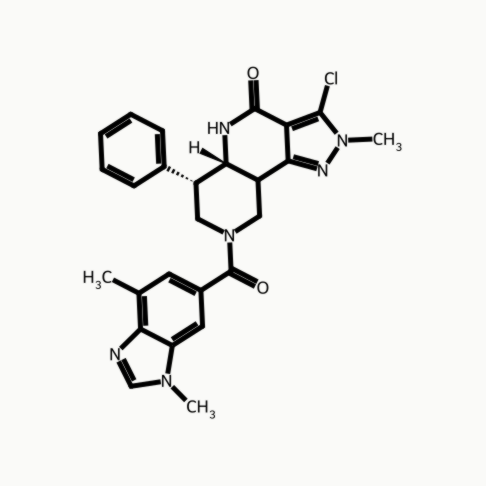 Cc1cc(C(=O)N2CC3c4nn(C)c(Cl)c4C(=O)N[C@H]3[C@@H](c3ccccc3)C2)cc2c1ncn2C